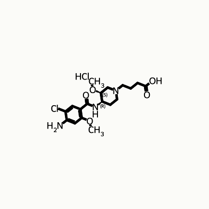 COc1cc(N)c(Cl)cc1C(=O)N[C@@H]1CCN(CCCC(=O)O)C[C@@H]1OC.Cl